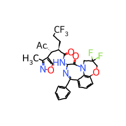 CC(=O)[C@@H](c1conc1C)[C@@H](CCC(F)(F)F)C(=O)N[C@H]1N=C(c2ccccc2)c2cccc3c2N(CC(F)(F)CO3)C1=O